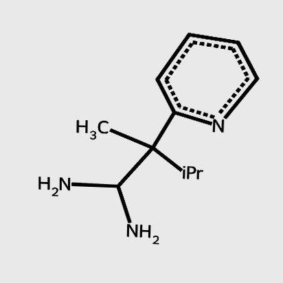 CC(C)C(C)(c1ccccn1)C(N)N